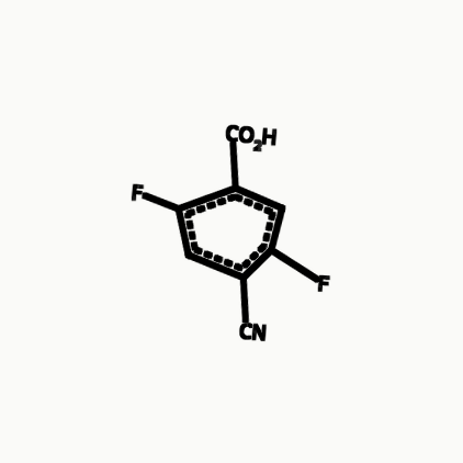 N#Cc1cc(F)c(C(=O)O)cc1F